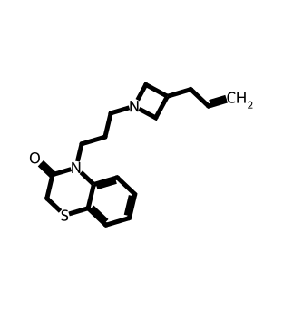 C=CCC1CN(CCCN2C(=O)CSc3ccccc32)C1